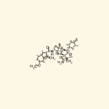 COc1ccc2cc(C(=O)NCC(O)(c3cc4c(c(-c5ccc(F)cc5)n3)OC[C@]4(C)C(N)=O)C(F)(F)F)n(C)c2c1